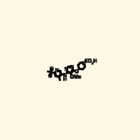 COc1c(Nc2cnc(S(C)(=O)=O)cc2C)ncnc1OC1CCN(C(=O)O)CC1